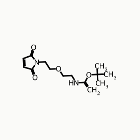 C=C(NCCOCCN1C(=O)C=CC1=O)OC(C)(C)C